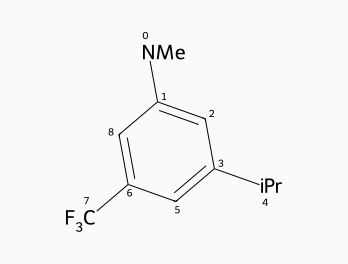 CNc1cc(C(C)C)cc(C(F)(F)F)c1